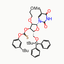 COCCO[C@@H]1[C@H](OC(=S)Oc2cccc(C(C)(C)C)c2)[C@@H](CO[Si](c2ccccc2)(c2ccccc2)C(C)(C)C)O[C@H]1n1cc(C)c(=O)[nH]c1=O